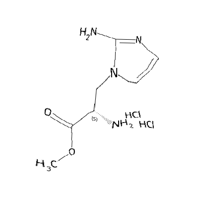 COC(=O)[C@@H](N)Cn1ccnc1N.Cl.Cl